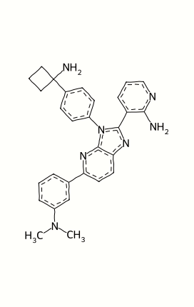 CN(C)c1cccc(-c2ccc3nc(-c4cccnc4N)n(-c4ccc(C5(N)CCC5)cc4)c3n2)c1